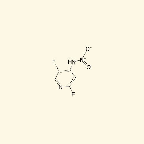 O=[N+]([O-])Nc1cc(F)ncc1F